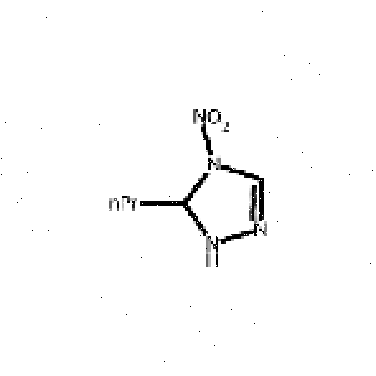 CCCC1NN=CN1[N+](=O)[O-]